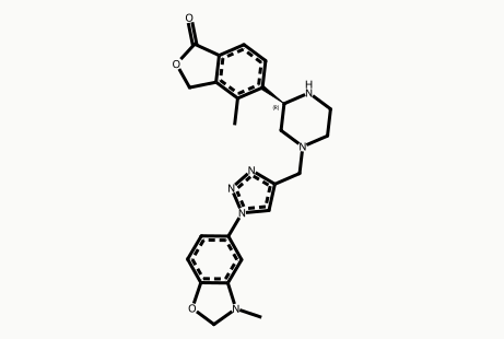 Cc1c([C@@H]2CN(Cc3cn(-c4ccc5c(c4)N(C)CO5)nn3)CCN2)ccc2c1COC2=O